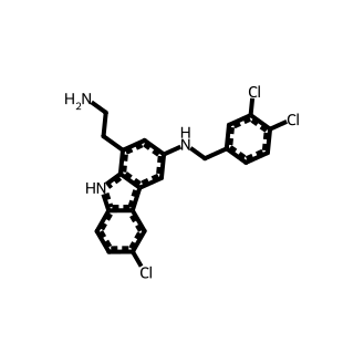 NCCc1cc(NCc2ccc(Cl)c(Cl)c2)cc2c1[nH]c1ccc(Cl)cc12